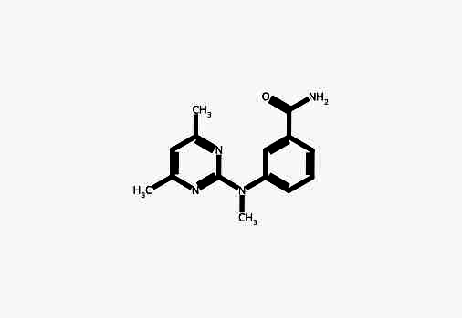 Cc1cc(C)nc(N(C)c2cccc(C(N)=O)c2)n1